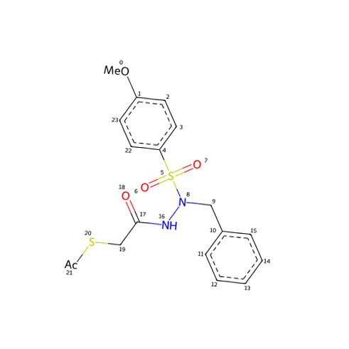 COc1ccc(S(=O)(=O)N(Cc2ccccc2)NC(=O)CSC(C)=O)cc1